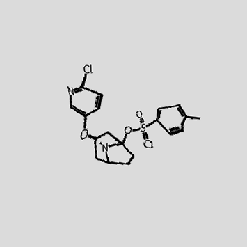 Cc1ccc(S(=O)(=O)OC23CCC(CC(Oc4ccc(Cl)nc4)C2)N3C)cc1